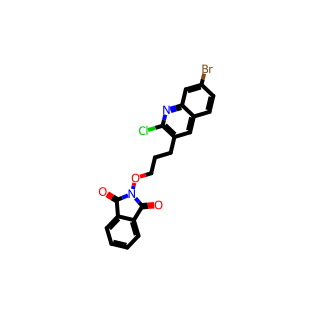 O=C1c2ccccc2C(=O)N1OCCCc1cc2ccc(Br)cc2nc1Cl